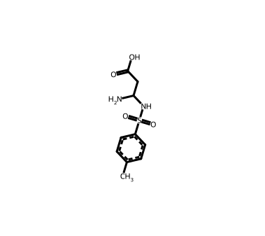 Cc1ccc(S(=O)(=O)NC(N)CC(=O)O)cc1